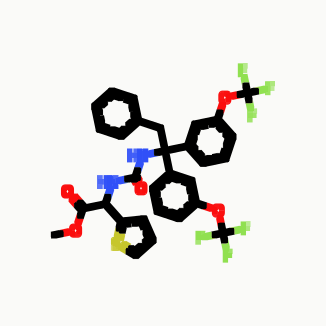 COC(=O)C(NC(=O)NC(Cc1ccccc1)(c1cccc(OC(F)(F)F)c1)c1cccc(OC(F)(F)F)c1)c1cccs1